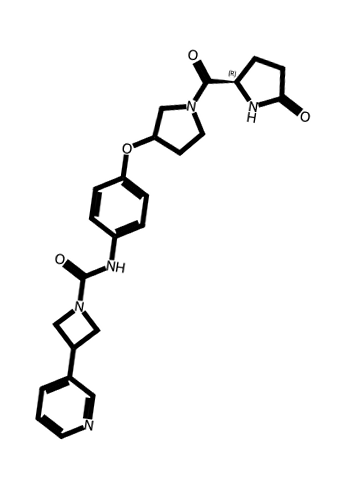 O=C1CC[C@H](C(=O)N2CCC(Oc3ccc(NC(=O)N4CC(c5cccnc5)C4)cc3)C2)N1